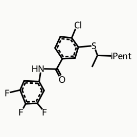 CCCC(C)C(C)Sc1cc(C(=O)Nc2cc(F)c(F)c(F)c2)ccc1Cl